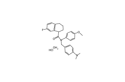 COc1ccc(N(Cc2ccc(N(C)C)cc2)C(=O)C2CCCc3ccc(F)cc32)cc1.Cl.O